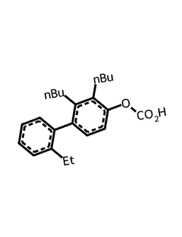 CCCCc1c(OC(=O)O)ccc(-c2ccccc2CC)c1CCCC